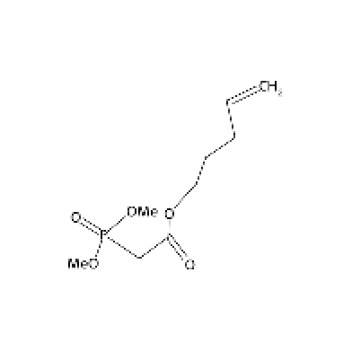 C=CCCCOC(=O)CP(=O)(OC)OC